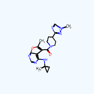 Cc1oc2ncnc(NC3(C)CC3)c2c1C(=O)N1CCC(c2ncn(C)n2)CC1